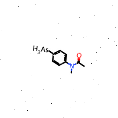 CC(=O)N(C)c1ccc([AsH2])cc1